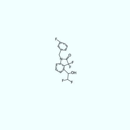 O=C1N(Cc2cccc(F)c2)c2cccc(C(O)C(F)F)c2C1(F)F